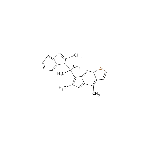 CC1=Cc2ccccc2C1C(C)(C)C1=C(C)C=C2C1=CC1SC=CC1=C2C